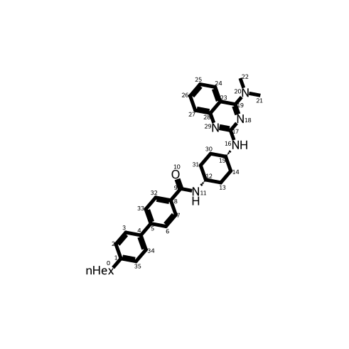 CCCCCCc1ccc(-c2ccc(C(=O)N[C@H]3CC[C@@H](Nc4nc(N(C)C)c5ccccc5n4)CC3)cc2)cc1